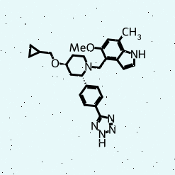 COc1cc(C)c2[nH]ccc2c1CN1CC[C@H](OCC2CC2)C[C@H]1c1ccc(-c2nn[nH]n2)cc1